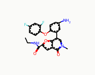 CCNC(=O)c1cc2c(=O)n(C)cc(-c3cc(N)ccc3Oc3ccc(F)cc3F)c2o1